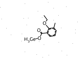 CCOc1c(C)cccc1C(=O)[O][GeH3]